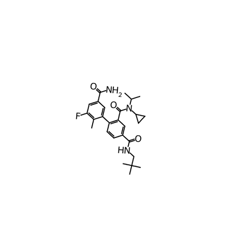 Cc1c(F)cc(C(N)=O)cc1-c1ccc(C(=O)NCC(C)(C)C)cc1C(=O)N(C(C)C)C1CC1